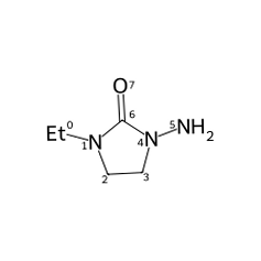 CCN1CCN(N)C1=O